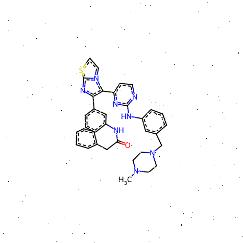 CN1CCN(Cc2cccc(Nc3nccc(-c4c(-c5cccc(NC(=O)Cc6ccccc6)c5)nc5sccn45)n3)c2)CC1